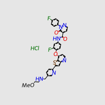 COCCNCc1ccc(-c2cc3nccc(Oc4ccc(NC(=O)c5ccnn(-c6ccc(F)cc6)c5=O)cc4F)c3s2)nc1.Cl